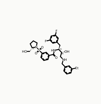 CCc1cccc(CNC[C@@H](O)[C@H](Cc2cc(F)cc(F)c2)NC(=O)c2cccc(S(=O)(=O)N3CCC[C@H]3CO)c2)c1